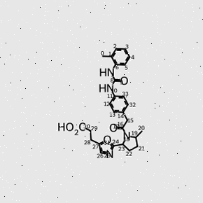 Cc1ccccc1NC(=O)Nc1ccc(CC(=O)N2C(C)CCC2c2ncc(CCC(=O)O)o2)cc1